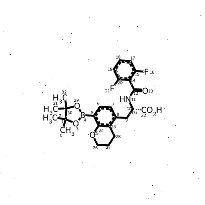 CC1(C)OB(c2ccc(C[C@H](NC(=O)c3c(F)cccc3F)C(=O)O)c3c2OCCC3)OC1(C)C